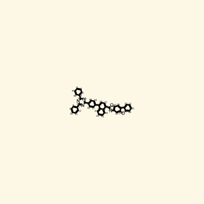 c1ccc(-c2nc(-c3ccccc3)nc(-c3ccc(-c4ccc(-c5nc6cc7oc8ccccc8c7cc6o5)c5ccccc45)cc3)n2)cc1